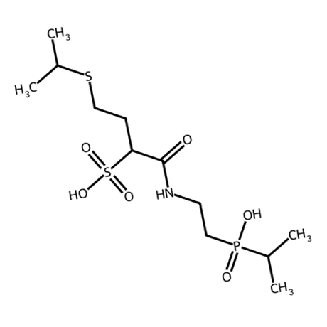 CC(C)SCCC(C(=O)NCCP(=O)(O)C(C)C)S(=O)(=O)O